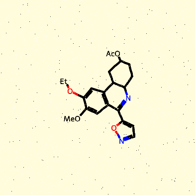 CCOc1cc2c(cc1OC)C(c1ccno1)=NC1CCC(OC(C)=O)CC21